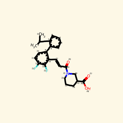 CC(C)c1ccccc1-c1c[c]c(F)c(F)c1/C=C/C(=O)N1CCCC(C(=O)O)C1